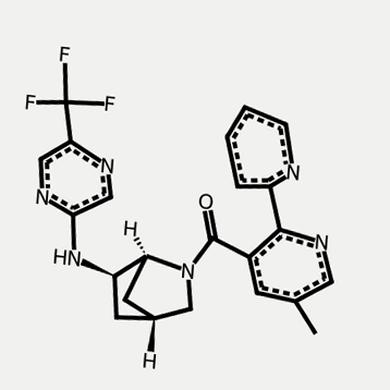 Cc1cnc(-c2ccccn2)c(C(=O)N2C[C@@H]3C[C@@H](Nc4cnc(C(F)(F)F)cn4)[C@@H]2C3)c1